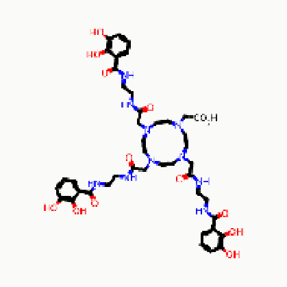 O=C(O)CN1CCN(CC(=O)NCCNC(=O)c2cccc(O)c2O)CCN(CC(=O)NCCNC(=O)c2cccc(O)c2O)CCN(CC(=O)NCCNC(=O)c2cccc(O)c2O)CC1